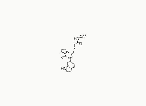 O=C(CCCCCCN(C(=O)c1ccco1)c1ccc2cc[nH]c2c1)NO